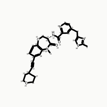 Cc1nc(Cc2ccnc(C(=O)N[C@H]3COc4ccc(C#CC5CCOCC5)cc4N(C)C3=O)c2)cs1